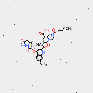 CCCCOC(=O)N1CCN(C(=O)[C@H](CCC(=O)O)[AsH]C(=O)c2cc(OCC(=O)N3NC(=O)CC3C)c3ccc(C)cc3n2)CC1